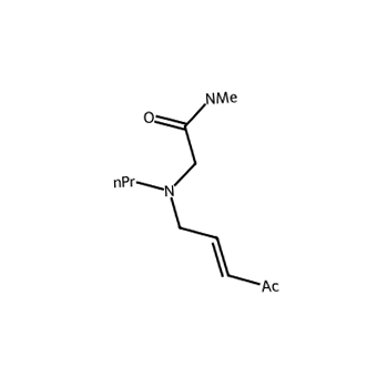 CCCN(C/C=C/C(C)=O)CC(=O)NC